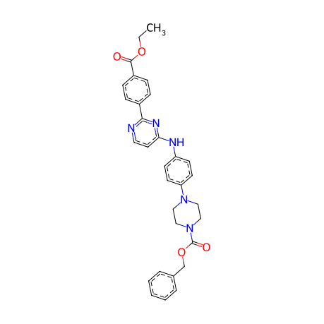 CCOC(=O)c1ccc(-c2nccc(Nc3ccc(N4CCN(C(=O)OCc5ccccc5)CC4)cc3)n2)cc1